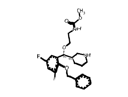 COC(=O)NCCO[C@@H](c1cc(F)cc(F)c1OCc1ccccc1)[C@@H]1CCCNC1